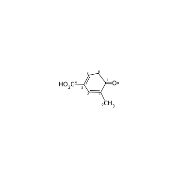 CC1=CC(C(=O)O)=CCC1=O